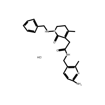 CC1=C(CC(=O)NCc2ccc(N)nc2C)C(=O)N(NCc2ccccc2)CC1.Cl